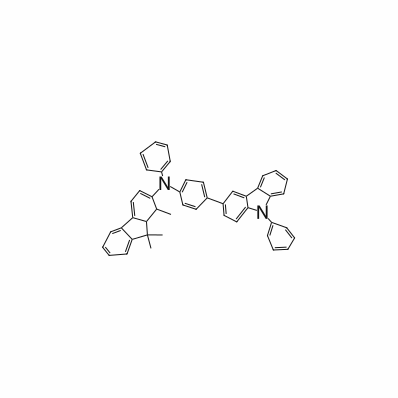 CC1C(N(c2ccccc2)c2ccc(-c3ccc4c(c3)c3ccccc3n4-c3ccccc3)cc2)=CC=C2c3ccccc3C(C)(C)C21